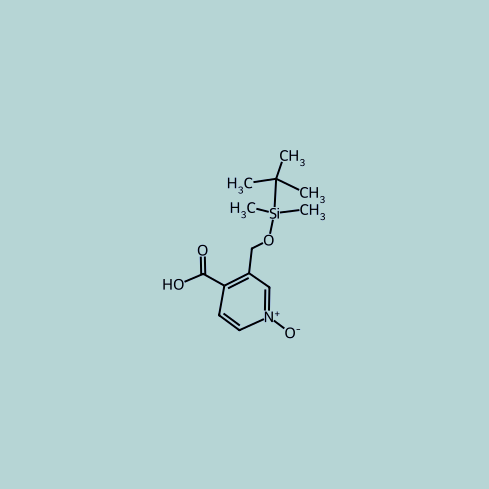 CC(C)(C)[Si](C)(C)OCc1c[n+]([O-])ccc1C(=O)O